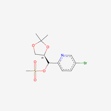 CC1(C)OC[C@H](C(OS(C)(=O)=O)c2ccc(Br)cn2)O1